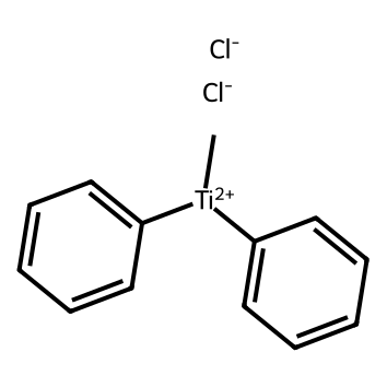 [CH3][Ti+2]([c]1ccccc1)[c]1ccccc1.[Cl-].[Cl-]